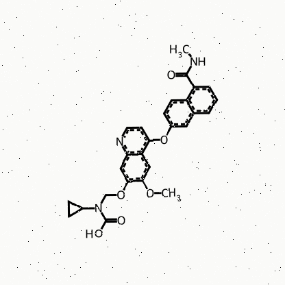 CNC(=O)c1cccc2cc(Oc3ccnc4cc(OCN(C(=O)O)C5CC5)c(OC)cc34)ccc12